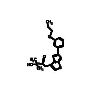 CCCOc1cccc(-c2cc3scc(CC(=O)[N+](C)(C)O)n3c2)c1